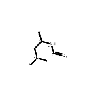 CC(CN(C)C)N[C]=O